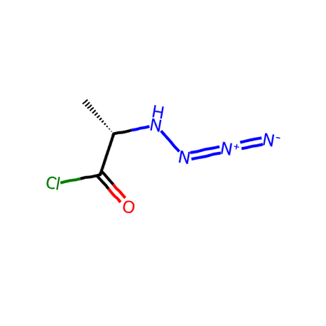 C[C@H](NN=[N+]=[N-])C(=O)Cl